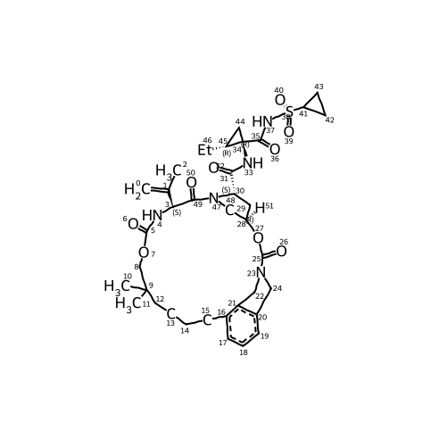 C=C(C)[C@@H]1NC(=O)OCC(C)(C)CCCCc2cccc3c2CN(C3)C(=O)O[C@@H]2C[C@@H](C(=O)N[C@]3(C(=O)NS(=O)(=O)C4CC4)C[C@H]3CC)N(C2)C1=O